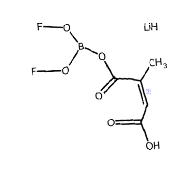 C/C(=C/C(=O)O)C(=O)OB(OF)OF.[LiH]